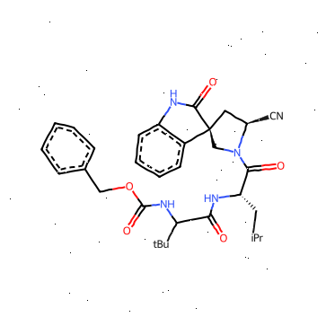 CC(C)C[C@H](NC(=O)C(NC(=O)OCc1ccccc1)C(C)(C)C)C(=O)N1C[C@]2(C[C@H]1C#N)C(=O)Nc1ccccc12